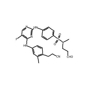 Cc1cc(Nc2nc(Nc3ccc(S(=O)(=O)N(C)CCC=O)cc3)ncc2F)ccc1CCC#N